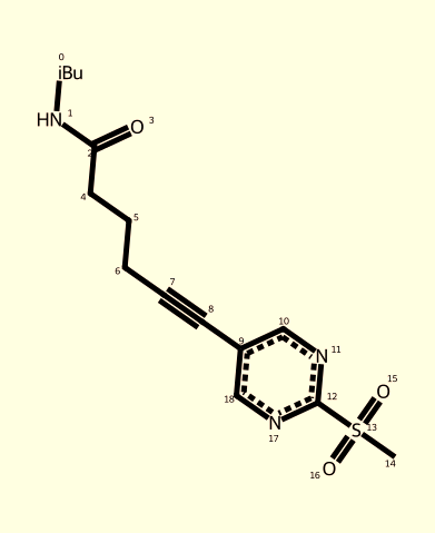 CCC(C)NC(=O)CCCC#Cc1cnc(S(C)(=O)=O)nc1